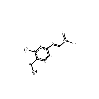 Cc1cc(/C=C/[N+](=O)[O-])ccc1CO